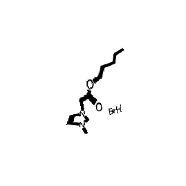 Br.CCCCCOC(=O)CN1C=CN(C)C1